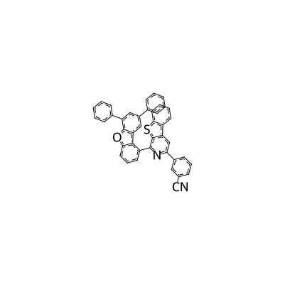 N#Cc1cccc(-c2cc3c(sc4ccccc43)c(-c3cccc4oc5c(-c6ccccc6)cc(-c6ccccc6)cc5c34)n2)c1